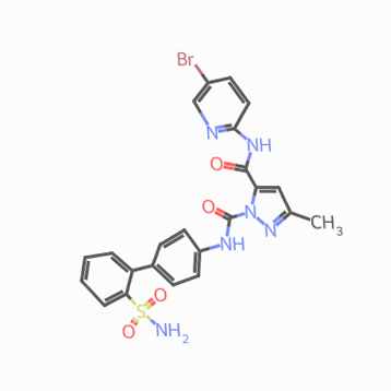 Cc1cc(C(=O)Nc2ccc(Br)cn2)n(C(=O)Nc2ccc(-c3ccccc3S(N)(=O)=O)cc2)n1